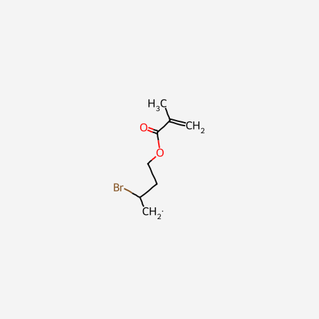 [CH2]C(Br)CCOC(=O)C(=C)C